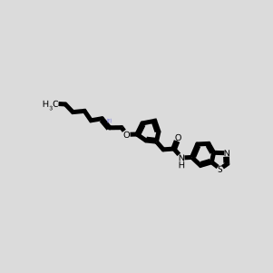 CCCCC/C=C/COc1cccc(CC(=O)Nc2ccc3ncsc3c2)c1